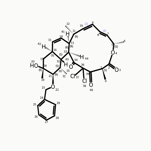 C[C@@H]1C(=O)O[C@@H](C)/C=C/C=C\[C@@H](C)[C@@H]2C=C[C@@H]3C[C@@](C)(O)[C@H](OCc4ccccc4)[C@@H](C)[C@H]3[C@@H]2C(=O)C(Cl)(Cl)C1=O